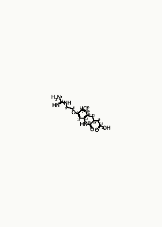 Cl.N=C(N)NCCOc1ccc2c(c1)NC(=O)C(CC(=O)O)C2